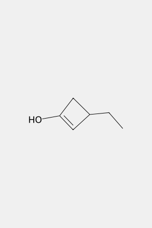 CCC1C=C(O)C1